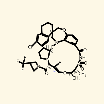 C[C@@H]1[C@@H](C)C/C=C(\F)[C@H](C(=O)N2CC(C(F)(F)F)C2)N2CCC[C@H]2CN2C[C@@]3(CCCc4cc(Cl)ccc43)COc3ccc(cc32)C(=O)NS1(=O)=O